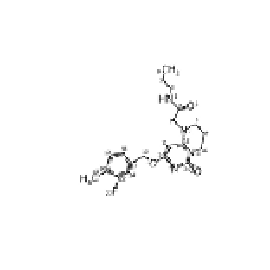 CCCNC(=O)CN1CCCn2c1cc(OCc1ccc(C)c(F)c1)nc2=O